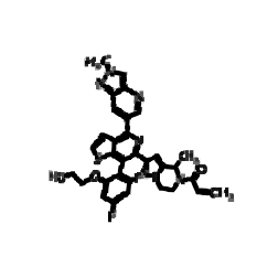 C=CC(=O)N1CCn2nc(-c3nc(-c4cnc5cn(C)nc5c4)c4ccsc4c3-c3c(F)cc(F)cc3OCCO)cc2C1C